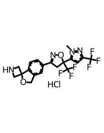 Cl.Cn1nc(C(F)(F)F)cc1C1(C(F)(F)F)CC(c2ccc3c(c2)COC32CNC2)=NO1